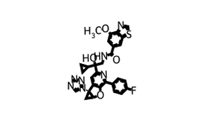 COc1cc(C(=O)NCC(O)(c2cc3c(c(-c4ccc(F)cc4)n2)OC2C[C@@]32n2cnnn2)C2CC2)cc2scnc12